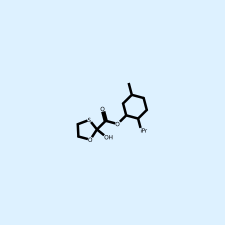 CC1CCC(C(C)C)C(OC(=O)C2(O)OCCS2)C1